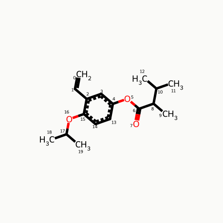 C=Cc1cc(OC(=O)C(C)C(C)C)ccc1OC(C)C